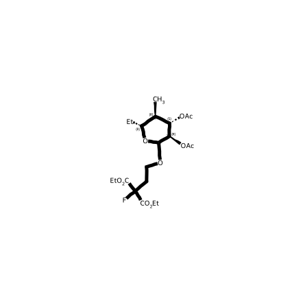 CCOC(=O)C(F)(CCOC1O[C@H](CC)[C@@H](C)[C@H](OC(C)=O)[C@H]1OC(C)=O)C(=O)OCC